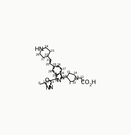 Cc1nnc(-c2nn(C3CCN(CC(=O)O)CC3)c3ccc(C=CC4CCNCC4)cc23)o1